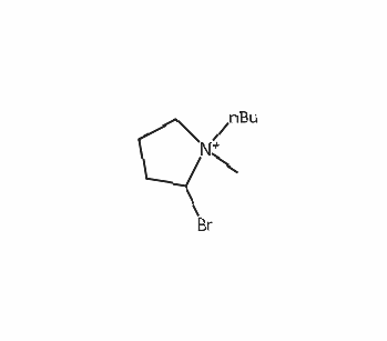 CCCC[N+]1(C)CCCC1Br